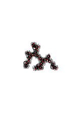 c1ccc(N(c2ccc(-c3ccc4c(c3)oc3ccccc34)cc2)c2ccc(N(c3ccc(-c4ccc(N(c5ccc(-c6cccc7c6oc6ccccc67)cc5)c5ccc(N(c6ccccc6)c6ccc(-c7ccc8c(c7)oc7ccccc78)cc6)cc5)cc4)cc3)c3ccc(-c4cccc5c4oc4ccccc45)cc3)cc2)cc1